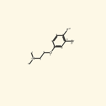 CN(C)CCOc1ccc(F)c(Br)c1